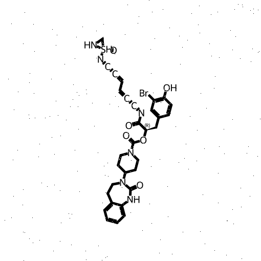 O=C(N=C=C=CC=C=C=N[SH]1(=O)CN1)[C@@H](Cc1ccc(O)c(Br)c1)OC(=O)N1CCC(N2CCc3ccccc3NC2=O)CC1